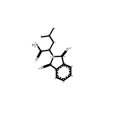 CC(C)CC(C(N)=O)N1C(=O)c2ccccc2C1=O